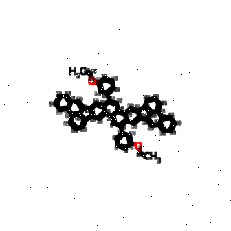 CCOc1cccc(-c2cc3c4cc5c(cc4c(-c4cccc(OCC)c4)cc3c3cc4c(cc23)-c2cc3ccccc3c3cccc-4c23)-c2cc3ccccc3c3cccc-5c23)c1